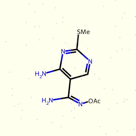 CSc1ncc(/C(N)=N\OC(C)=O)c(N)n1